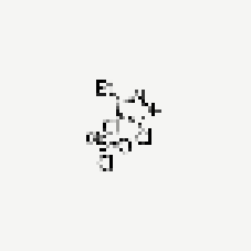 CCc1cc(Cl)n(C)n1.O=S(=O)(Cl)Cl